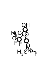 CC1=C(c2cc(O)c(F)c(F)c2)C(c2ccc(OC[C@H](C)N3CC(CF)C3)cc2)Oc2ccc(O)cc21